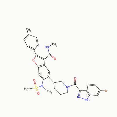 CNC(=O)c1c(-c2ccc(C)cc2)oc2cc(N(C)S(C)(=O)=O)c([C@H]3CCCN(C(=O)c4n[nH]c5cc(Br)ccc45)C3)cc12